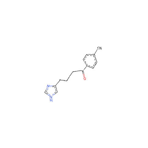 N#Cc1ccc(C(=O)CCCc2c[nH]cn2)cc1